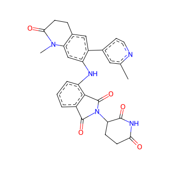 Cc1cc(-c2cc3c(cc2Nc2cccc4c2C(=O)N(C2CCC(=O)NC2=O)C4=O)N(C)C(=O)CC3)ccn1